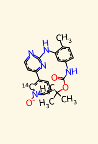 Cc1ccc(NC(=O)OC(C)(C)C)cc1Nc1nccc(-c2ccc[n+]([O-])[14cH]2)n1